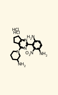 Cl.Cl.Nc1ccc(N)c([N+](=O)[O-])c1-c1nc2c(c(N3CCCC(N)C3)n1)CCC2